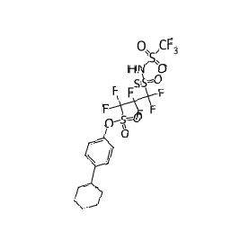 O=S(=O)(NS(=O)(=S)C(F)(F)C(F)(F)C(F)(F)S(=O)(=O)Oc1ccc(C2CCCCC2)cc1)C(F)(F)F